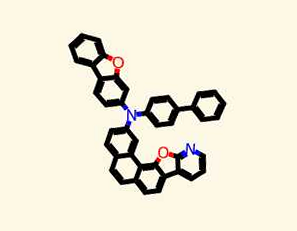 c1ccc(-c2ccc(N(c3ccc4c(c3)oc3ccccc34)c3ccc4ccc5ccc6c7cccnc7oc6c5c4c3)cc2)cc1